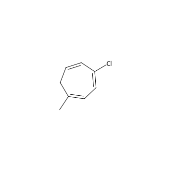 CC1=CC=C(Cl)C=CC1